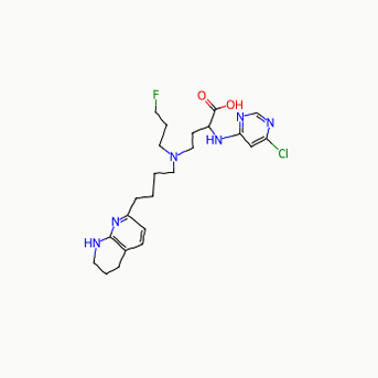 O=C(O)C(CCN(CCCF)CCCCc1ccc2c(n1)NCCC2)Nc1cc(Cl)ncn1